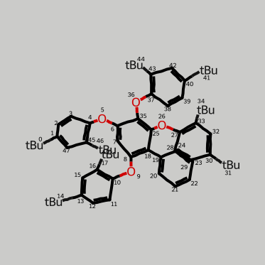 CC(C)(C)c1ccc(Oc2cc(Oc3ccc(C(C)(C)C)cc3C(C)(C)C)c(-c3ccccc3)c(Oc3ccc(C(C)(C)C)cc3C(C)(C)C)c2Oc2ccc(C(C)(C)C)cc2C(C)(C)C)c(C(C)(C)C)c1